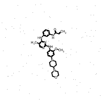 C=CC(=O)Nc1cccc(Nc2nc(Nc3ccc(N4CCC(N5CCOCC5)CC4)cc3OC)ncc2C)c1